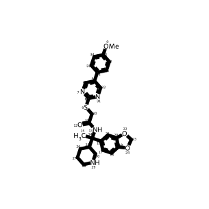 COc1ccc(-c2cnc(SCC(=O)NC(C)(c3ccc4c(c3)OCO4)C3CCCNC3)nc2)cc1